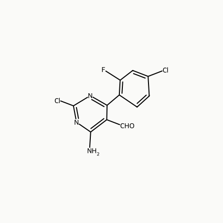 Nc1nc(Cl)nc(-c2ccc(Cl)cc2F)c1C=O